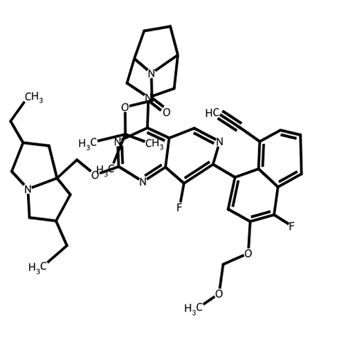 C#Cc1cccc2c(F)c(OCOC)cc(-c3ncc4c(N5CC6CCC(C5)N6C(=O)OC(C)(C)C)nc(OCC56CC(CC)CN5CC(CC)C6)nc4c3F)c12